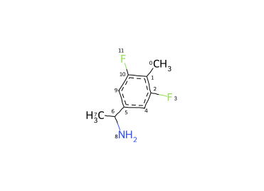 Cc1c(F)cc(C(C)N)cc1F